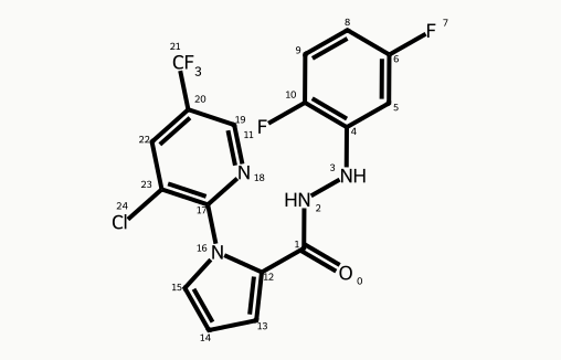 O=C(NNc1cc(F)ccc1F)c1cccn1-c1ncc(C(F)(F)F)cc1Cl